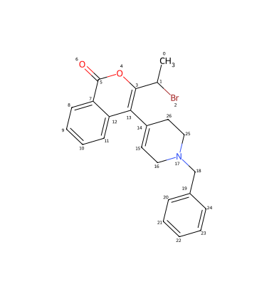 CC(Br)c1oc(=O)c2ccccc2c1C1=CCN(Cc2ccccc2)CC1